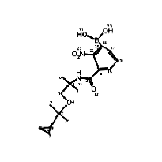 CC(C)(COC(C)(C)C1=CC1)NC(=O)c1cccc(B(O)O)c1[N+](=O)[O-]